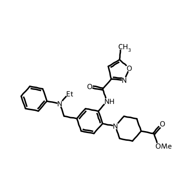 CCN(Cc1ccc(N2CCC(C(=O)OC)CC2)c(NC(=O)c2cc(C)on2)c1)c1ccccc1